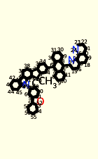 CC1(C)c2cc(-c3c4ccccc4c(-c4ccc5ccc6cccnc6c5n4)c4ccccc34)ccc2-c2ccc3c4ccccc4n(-c4ccc5oc6ccccc6c5c4)c3c21